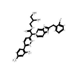 O=C(OCC(O)CO)C(c1ccc(-c2ccc(C(F)(F)F)cc2C(F)(F)F)nn1)n1ccc2nc(Cc3ccccc3F)nc-2c1